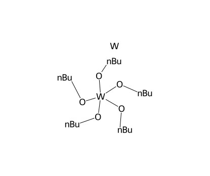 CCCC[O][W]([O]CCCC)([O]CCCC)([O]CCCC)[O]CCCC.[W]